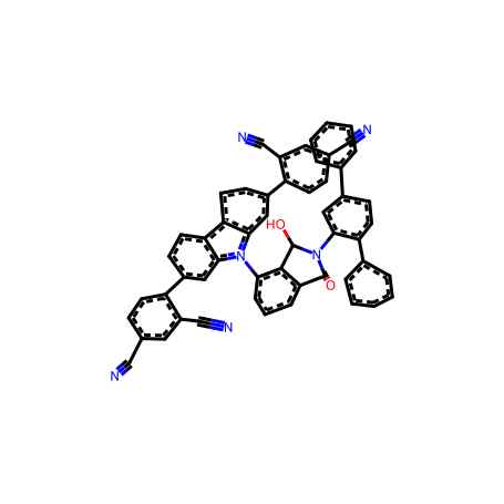 N#Cc1ccc(-c2ccc3c4ccc(-c5ccc(C#N)cc5C#N)cc4n(-c4cccc5c4C(O)N(c4cc(-c6ccccc6)ccc4-c4ccccc4)C5=O)c3c2)c(C#N)c1